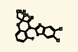 CC1(CC(=O)O)Oc2cccc(F)c2N(c2nc3cc(Cl)c(Cl)cc3s2)C1=O